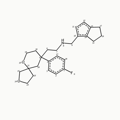 Fc1ccc(C2(CCNCc3scc4c3CCC4)CCOC3(CCOC3)C2)cc1